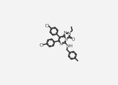 CCn1nc2c(-c3ccc(Cl)cc3)c(-c3ccc(Cl)cc3)nc(NCc3ccc(C)cc3)n2c1=O